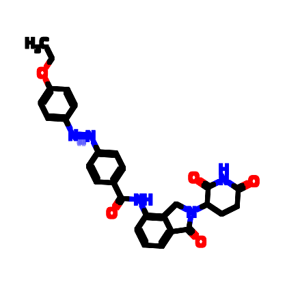 CCOc1ccc(/N=N/c2ccc(C(=O)Nc3cccc4c3CN(C3CCC(=O)NC3=O)C4=O)cc2)cc1